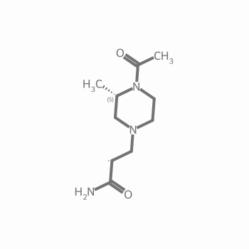 CC(=O)N1CCN(C[CH]C(N)=O)C[C@@H]1C